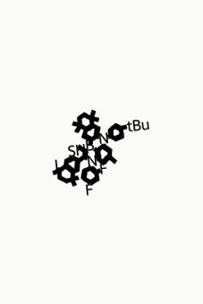 CC1=C(c2cc3c(cc2S)C(C)(I)CCC3(C)C)N(c2ccc(F)cc2F)c2cc(C)cc3c2B1c1cc2c(cc1N3c1ccc(C(C)(C)C)cc1)C(C)(C)CCC2(C)C